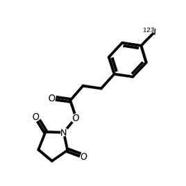 O=C(CCc1ccc([123I])cc1)ON1C(=O)CCC1=O